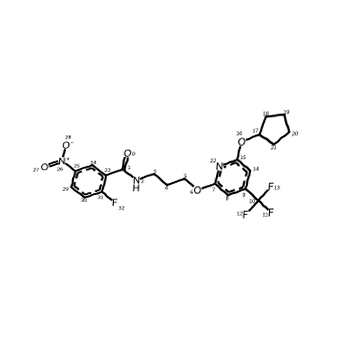 O=C(NCCCOc1cc(C(F)(F)F)cc(OC2CCCC2)n1)c1cc([N+](=O)[O-])ccc1F